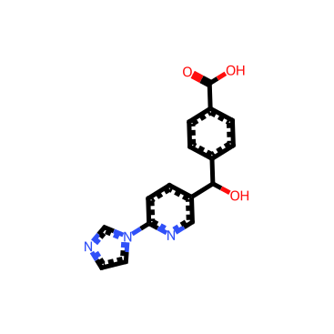 O=C(O)c1ccc(C(O)c2ccc(-n3ccnc3)nc2)cc1